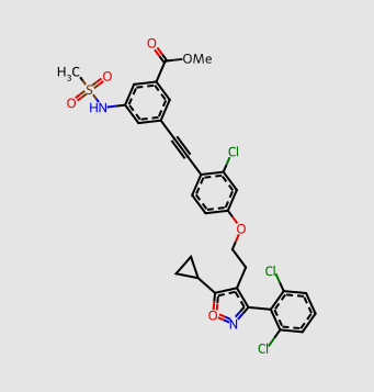 COC(=O)c1cc(C#Cc2ccc(OCCc3c(-c4c(Cl)cccc4Cl)noc3C3CC3)cc2Cl)cc(NS(C)(=O)=O)c1